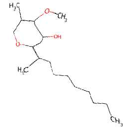 CCCCCCCCC(C)C1OCC(C)C(OC)C1O